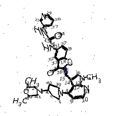 C[C@@H]1CN(C2CCN(c3ccnc4c3c(/C=C3\Oc5ccc(NC(=O)Nc6cccnc6)cc5C3=O)cn4C)CC2)C[C@H](C)O1